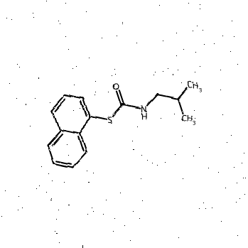 CC(C)CNC(=O)Sc1cccc2ccccc12